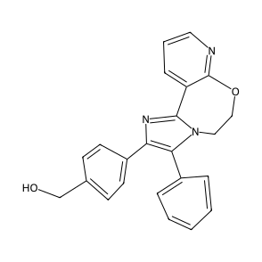 OCc1ccc(-c2nc3n(c2-c2ccccc2)CCOc2ncccc2-3)cc1